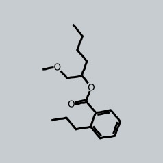 CCCCC(COC)OC(=O)c1ccccc1CCC